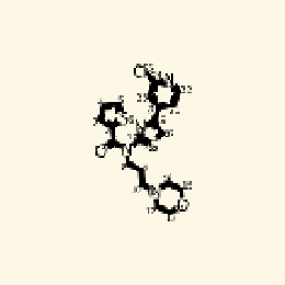 O=C(c1cccs1)N(CCCN1CCOCC1)c1nc(-c2ccnc(Cl)c2)cs1